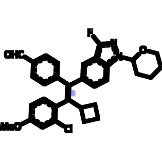 COc1ccc(/C(=C(\c2ccc(C=O)cc2)c2ccc3c(c2)c(F)nn3C2CCCCO2)C2CCC2)c(Cl)c1